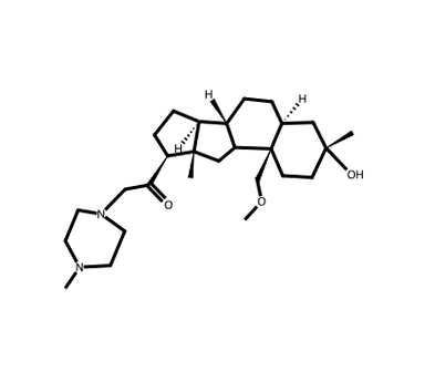 COC[C@]12CC[C@@](C)(O)C[C@@H]1CC[C@@H]1C2C[C@]2(C)[C@@H](C(=O)CN3CCN(C)CC3)CC[C@@H]12